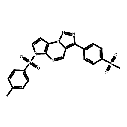 Cc1ccc(S(=O)(=O)n2ccc3c2ncc2c(-c4ccc(S(C)(=O)=O)cc4)nnn23)cc1